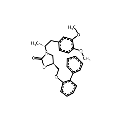 COc1ccc(C[C@@H](C)N2C[C@@H](COc3ccccc3-c3ccccc3)OC2=O)cc1OC